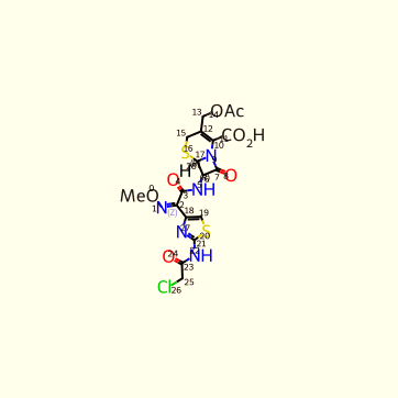 CO/N=C(\C(=O)N[C@@H]1C(=O)N2C(C(=O)O)=C(COC(C)=O)CS[C@H]12)c1csc(NC(=O)CCl)n1